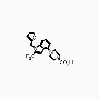 O=C(O)N1CCN(c2cccc3c2cc(C(F)(F)F)n3Cc2ccco2)CC1